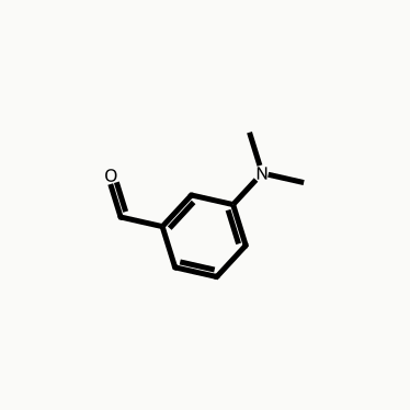 CN(C)c1cccc(C=O)c1